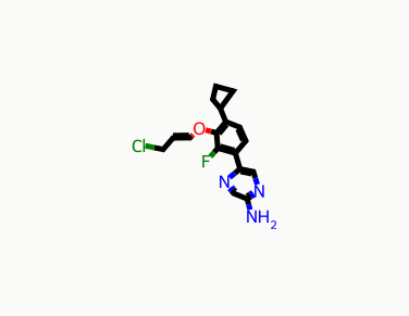 Nc1cnc(-c2ccc(C3CCC3)c(O/C=C/CCl)c2F)cn1